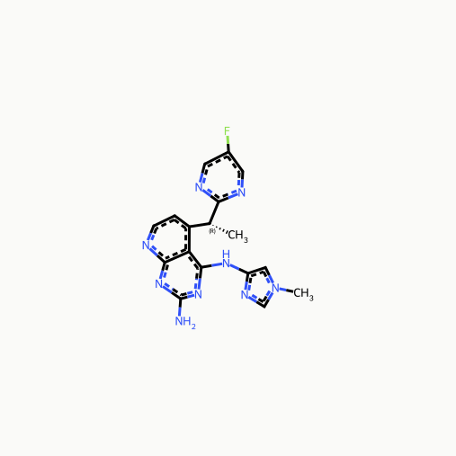 C[C@@H](c1ncc(F)cn1)c1ccnc2nc(N)nc(Nc3cn(C)cn3)c12